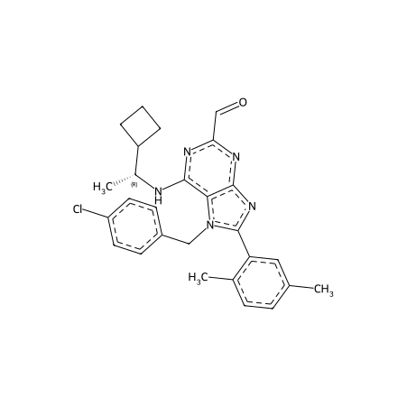 Cc1ccc(C)c(-c2nc3nc(C=O)nc(N[C@H](C)C4CCC4)c3n2Cc2ccc(Cl)cc2)c1